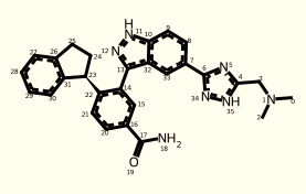 CN(C)Cc1nc(-c2ccc3[nH]nc(-c4cc(C(N)=O)ccc4[C@@H]4CCc5ccccc54)c3c2)n[nH]1